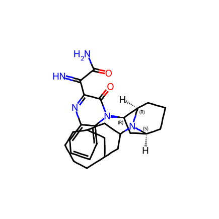 N=C(C(N)=O)c1nc2ccccc2n([C@@H]2C[C@@H]3CCC[C@H]2N3C2CC3CCCCC(C3)C2)c1=O